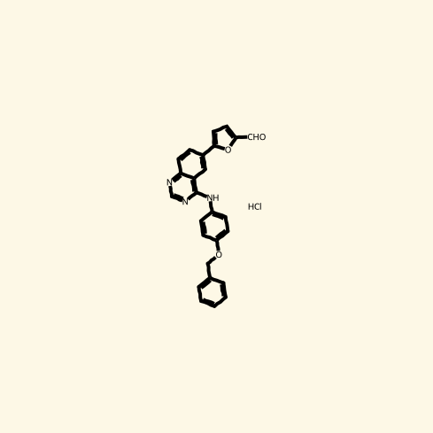 Cl.O=Cc1ccc(-c2ccc3ncnc(Nc4ccc(OCc5ccccc5)cc4)c3c2)o1